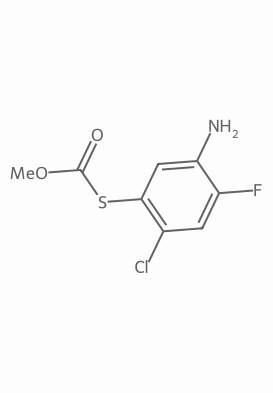 COC(=O)Sc1cc(N)c(F)cc1Cl